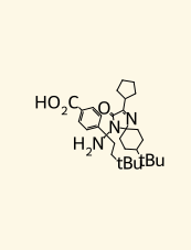 CC(C)(C)CC[C@](N)(c1ccc(C(=O)O)cc1)N1C(=O)C(C2CCCC2)=NC12CCC(C(C)(C)C)CC2